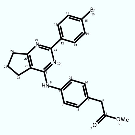 COC(=O)Cc1ccc(Nc2nc(-c3ccc(Br)cc3)nc3c2CCC3)cc1